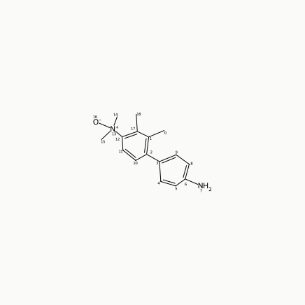 Cc1c(-c2ccc(N)cc2)ccc([N+](C)(C)[O-])c1C